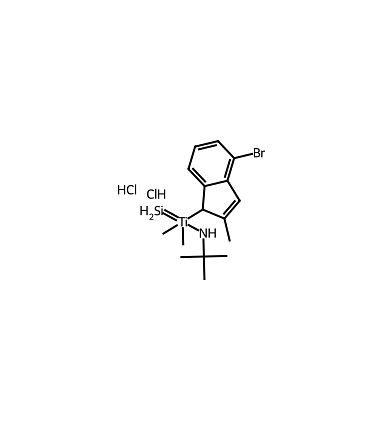 CC1=Cc2c(Br)cccc2[CH]1[Ti]([CH3])([CH3])(=[SiH2])[NH]C(C)(C)C.Cl.Cl